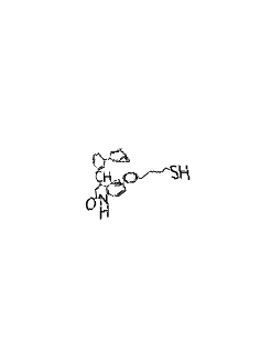 Cc1cc(=O)[nH]c2ccc(OCCCCS)cc12.c1ccc(-c2ccc3cc2-3)cc1